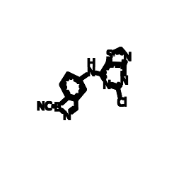 N#CB1N=Cc2cc(Nc3nc(Cl)nc4ncsc34)ccc21